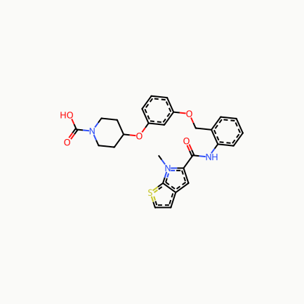 Cn1c(C(=O)Nc2ccccc2COc2cccc(OC3CCN(C(=O)O)CC3)c2)cc2ccsc21